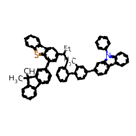 CCC(Cc1ccccc1-c1ccc(-c2ccc3c4ccccc4n(-c4ccccc4)c3c2)cc1C)c1cc(-c2ccc3c(c2)C(C)(C)c2ccccc2-3)c2sc3ccccc3c2c1